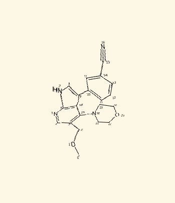 COCc1cnc2[nH]cc(-c3cccc(C#N)c3)c2c1N1CCOCC1